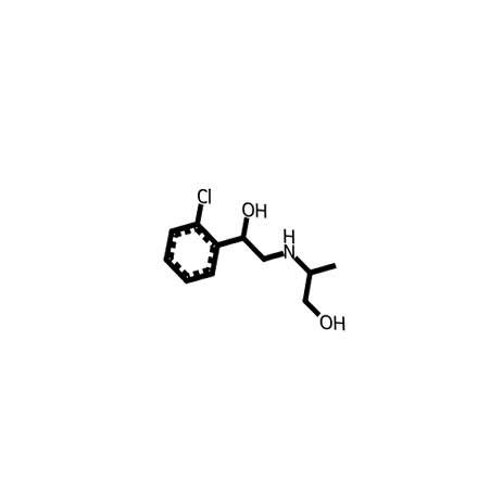 CC(CO)NCC(O)c1ccccc1Cl